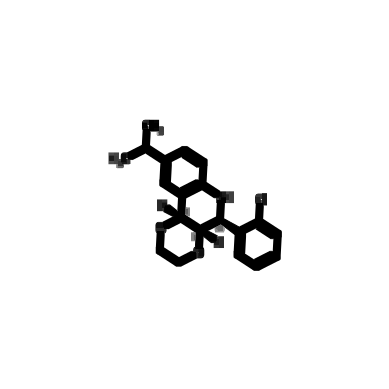 CC(C)c1ccc2c(c1)[C@H]1OCCO[C@H]1[C@H](c1ccccc1Cl)N2